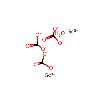 O.O=C([O-])[O-].O=C([O-])[O-].O=C([O-])[O-].[Sc+3].[Sc+3]